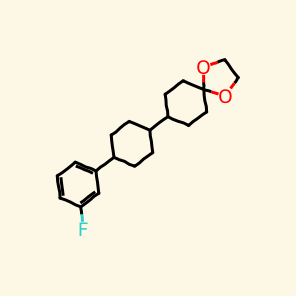 Fc1cccc(C2CCC(C3CCC4(CC3)OCCO4)CC2)c1